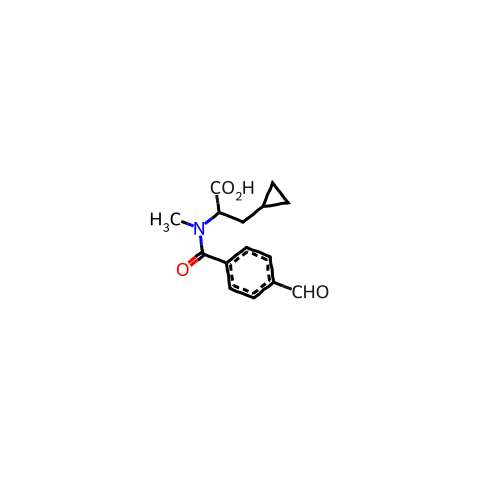 CN(C(=O)c1ccc(C=O)cc1)C(CC1CC1)C(=O)O